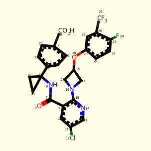 O=C(O)c1ccc(C2(NC(=O)c3cc(Cl)cnc3N3CC(Oc4ccc(F)c(C(F)(F)F)c4)C3)CC2)cc1